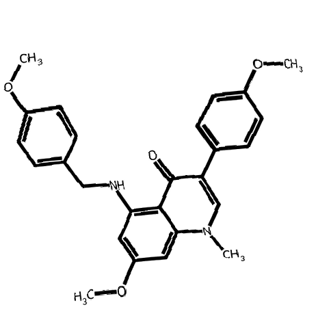 COc1ccc(CNc2cc(OC)cc3c2c(=O)c(-c2ccc(OC)cc2)cn3C)cc1